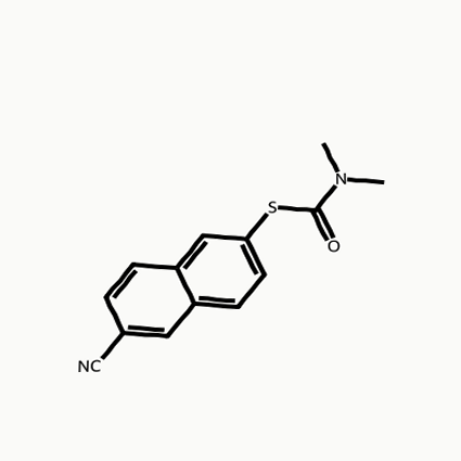 CN(C)C(=O)Sc1ccc2cc(C#N)ccc2c1